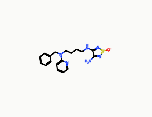 Nc1n[s+]([O-])nc1NCCCCN(Cc1ccccc1)c1ccccn1